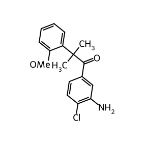 COc1ccccc1C(C)(C)C(=O)c1ccc(Cl)c(N)c1